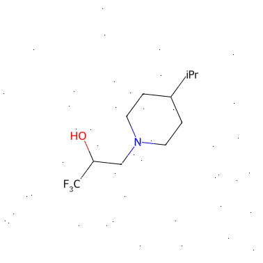 CC(C)C1CCN(CC(O)C(F)(F)F)CC1